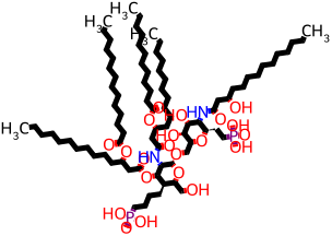 CCCCCCCCCCCCCC(=O)OC(CCCCCCCCCCC)CC(=O)OC1C(NC(=O)CC(CCCCCCCCCCC)OC(=O)CCCCCCCCCCC)[C@H](OCC2O[C@@H](CCP(=O)(O)O)C(NC(=O)CC(O)CCCCCCCCCCC)C(O)[C@@H]2O)OC(CO)[C@H]1CCCCP(=O)(O)O